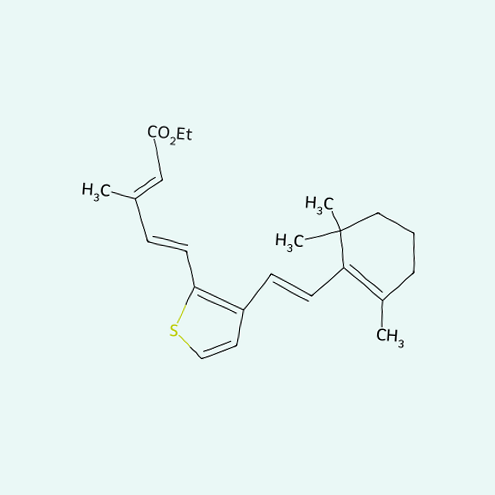 CCOC(=O)C=C(C)C=Cc1sccc1C=CC1=C(C)CCCC1(C)C